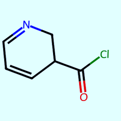 O=C(Cl)C1C=CC=NC1